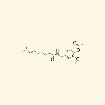 COc1cc(CNC(=O)CCCC/C=C/C(C)C)ccc1OC(C)=O